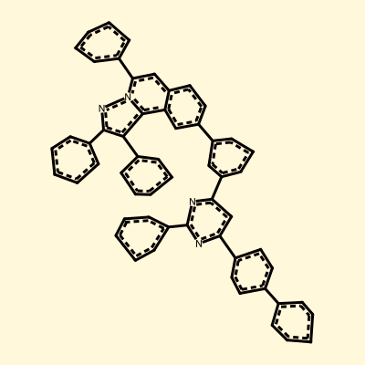 c1ccc(-c2ccc(-c3cc(-c4cccc(-c5ccc6cc(-c7ccccc7)n7nc(-c8ccccc8)c(-c8ccccc8)c7c6c5)c4)nc(-c4ccccc4)n3)cc2)cc1